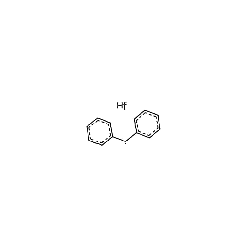 [CH](c1ccccc1)c1ccccc1.[Hf]